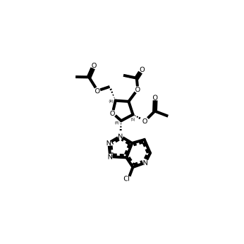 CC(=O)OC[C@H]1O[C@@H](n2nnc3c(Cl)nccc32)[C@@H](OC(C)=O)C1OC(C)=O